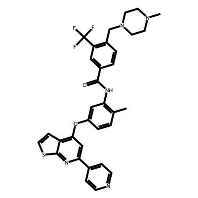 Cc1ccc(Oc2cc(-c3ccncc3)nc3sccc23)cc1NC(=O)c1ccc(CN2CCN(C)CC2)c(C(F)(F)F)c1